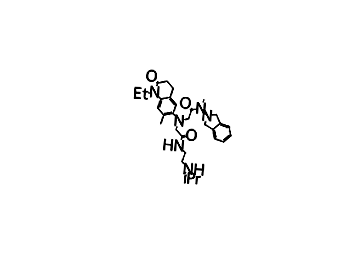 CCN1C(=O)CCc2cc(N(CC(=O)NCCNC(C)C)CC(=O)N(C)N3Cc4ccccc4C3)c(C)cc21